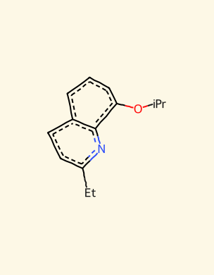 CCc1ccc2cccc(OC(C)C)c2n1